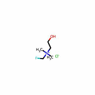 C[N+](C)(CF)CCO.[Cl-]